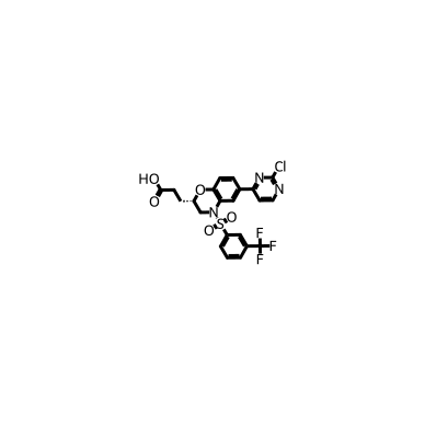 O=C(O)CC[C@H]1CN(S(=O)(=O)c2cccc(C(F)(F)F)c2)c2cc(-c3ccnc(Cl)n3)ccc2O1